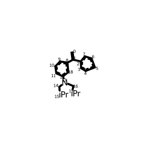 C=C(c1ccccc1)c1cccc(N(CC(C)C)CC(C)C)c1